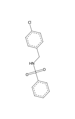 O=S(=O)(NCc1ccc(Cl)cc1)c1ccccc1